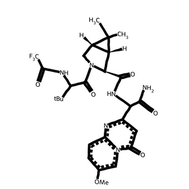 COc1ccc2nc(C(NC(=O)[C@@H]3[C@@H]4[C@H](CN3C(=O)C(NC(=O)C(F)(F)F)C(C)(C)C)C4(C)C)C(N)=O)cc(=O)n2c1